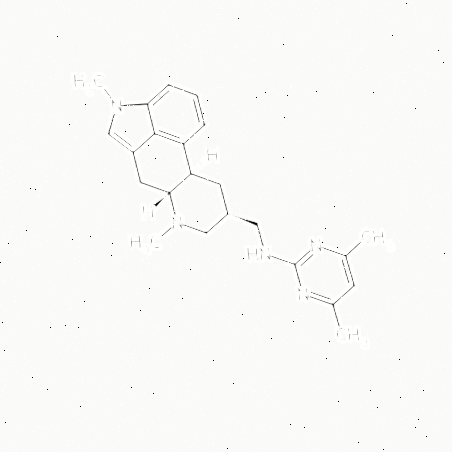 Cc1cc(C)nc(NC[C@@H]2C[C@@H]3c4cccc5c4c(cn5C)C[C@H]3N(C)C2)n1